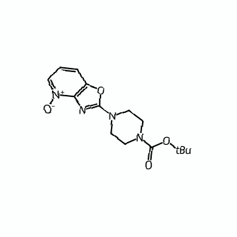 CC(C)(C)OC(=O)N1CCN(c2nc3c(ccc[n+]3[O-])o2)CC1